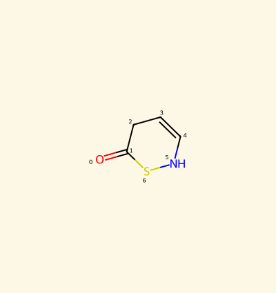 O=C1CC=CNS1